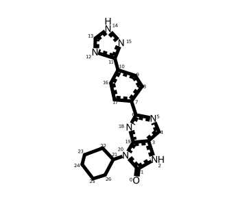 O=c1[nH]c2cnc(-c3ccc(-c4nc[nH]n4)cc3)nc2n1C1CCCCC1